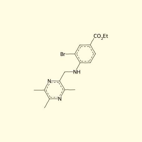 CCOC(=O)c1ccc(NCc2nc(C)c(C)nc2C)c(Br)c1